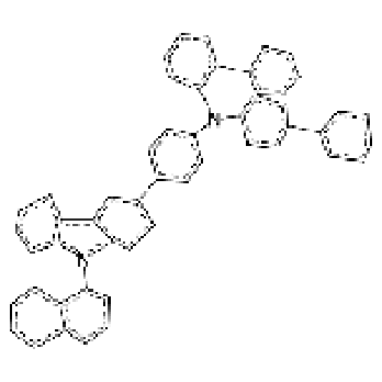 c1ccc(-c2ccc(N(c3ccc(-c4ccc5c(c4)c4ccccc4n5-c4cccc5ccccc45)cc3)c3ccccc3-c3ccccc3)cc2)cc1